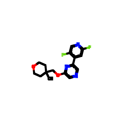 N#CC1(COc2cncc(-c3cc(F)ncc3F)n2)CCOCC1